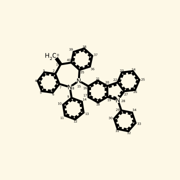 C=C1c2ccccc2N(c2ccccc2)N(c2ccc3c(c2)c2ccccc2n3-c2ccccc2)c2ccccc21